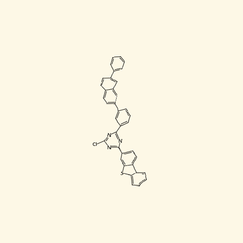 Clc1nc(-c2cccc(-c3ccc4ccc(-c5ccccc5)cc4c3)c2)nc(-c2ccc3c(c2)sc2ccccc23)n1